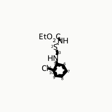 CCOC(=O)NSCNc1ccccc1Cl